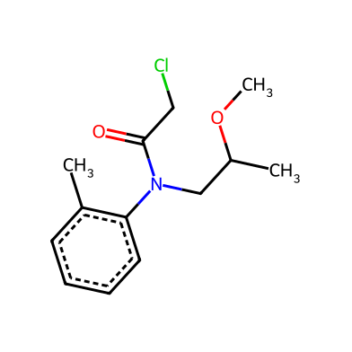 COC(C)CN(C(=O)CCl)c1ccccc1C